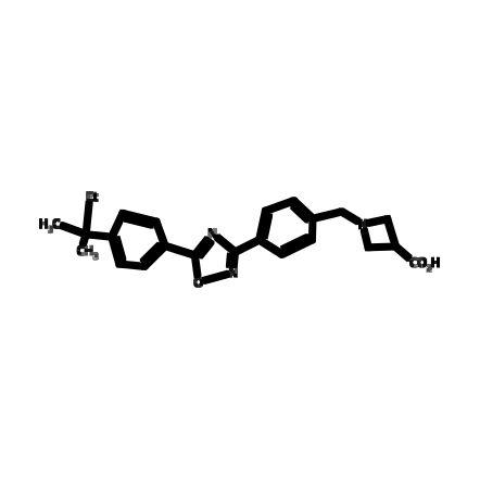 CCC(C)(C)c1ccc(-c2nc(-c3ccc(CN4CC(C(=O)O)C4)cc3)no2)cc1